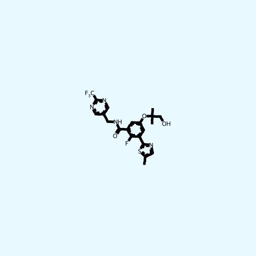 Cc1cnc(-c2cc(OC(C)(C)CO)cc(C(=O)NCc3cnc(C(F)(F)F)nc3)c2F)s1